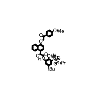 CCCS(=O)(=O)Nc1cc(C(C)(C)C)cc(NC(=O)C(=O)c2ccc(OCC(=O)c3ccc(OC)cc3)c3ccccc23)c1OC